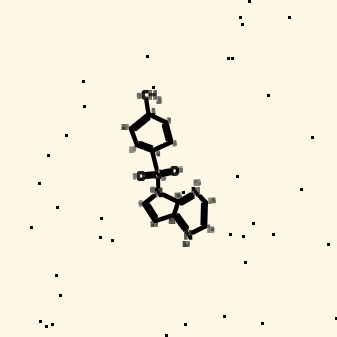 Cc1ccc(S(=O)(=O)n2ccc3n[c]cnc32)cc1